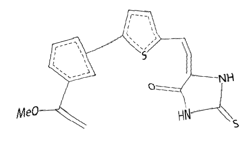 C=C(OC)c1cccc(-c2ccc(C=C3NC(=S)NC3=O)s2)c1